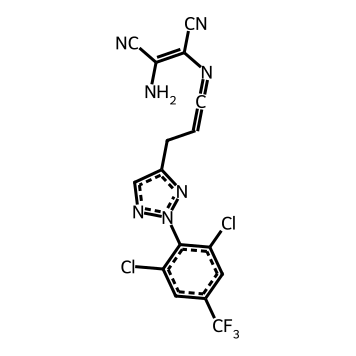 N#CC(N)=C(C#N)N=C=CCc1cnn(-c2c(Cl)cc(C(F)(F)F)cc2Cl)n1